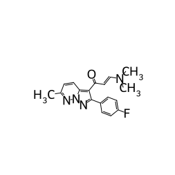 Cc1ccc2c(C(=O)C=CN(C)C)c(-c3ccc(F)cc3)nn2n1